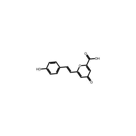 O=C(O)c1cc(=O)cc(C=Cc2ccc(O)cc2)o1